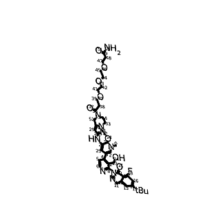 Cn1cc(-c2ccnc(-n3ncc4cc(C(C)(C)C)cc(F)c4c3=O)c2CO)cc(Nc2cc3n(n2)CCN(C(=O)CCOCCOCCOCCC(N)=O)C3)c1=O